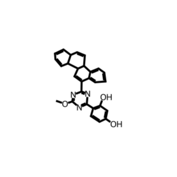 COc1nc(C2=CC3C(C=CC4C=CC=CC43)c3ccccc32)nc(-c2ccc(O)cc2O)n1